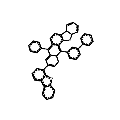 C1=CC2Oc3c(ccc4c3=C(c3cccc(-c5ccccc5)c3)C3CC=C(c5cccc6c5oc5ccccc56)C=C3C=4c3ccccc3)C2C=C1